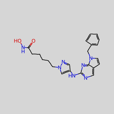 O=C(CCCCCn1cc(Nc2ncc3ccn(Cc4ccccc4)c3n2)cn1)NO